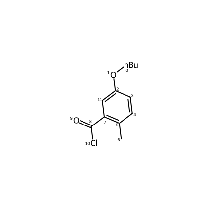 CCCCOc1ccc(C)c(C(=O)Cl)c1